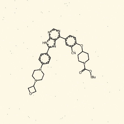 CC(C)(C)OC(=O)N1CCC(Oc2ccc(-c3ncnc4[nH]c(-c5ccc(N6CCN(C7COC7)CC6)cc5)nc34)cc2C#N)CC1